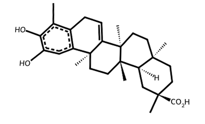 Cc1c(O)c(O)cc2c1CC=C1[C@@]2(C)CC[C@@]2(C)[C@@H]3C[C@](C)(C(=O)O)CC[C@]3(C)CC[C@]12C